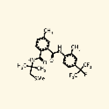 CSCC(C)(C)NC(=O)c1ccc(C)cc1C(=O)Nc1ccc(C(F)(C(F)(F)F)C(F)(F)F)cc1C